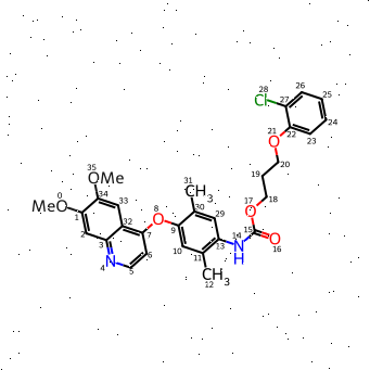 COc1cc2nccc(Oc3cc(C)c(NC(=O)OCCCOc4ccccc4Cl)cc3C)c2cc1OC